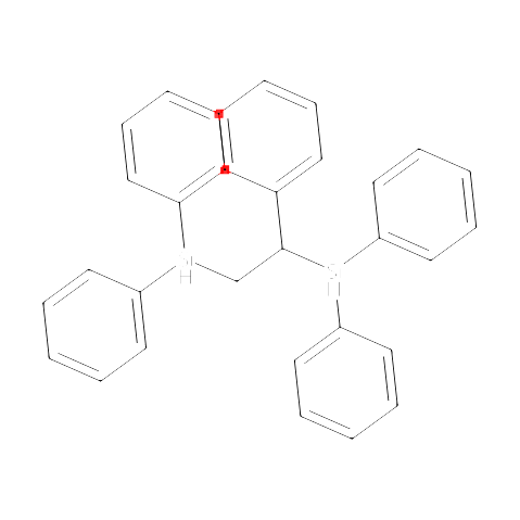 c1ccc(C(C[SiH](c2ccccc2)c2ccccc2)[SiH](c2ccccc2)c2ccccc2)cc1